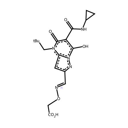 CC(C)(C)Cn1c(=O)c(C(=O)NC2CC2)c(O)n2nc(/C=N/OCC(=O)O)cc12